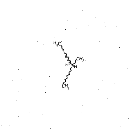 CCCCCCCCCCPC(CCC)PCCCCCCCCCC